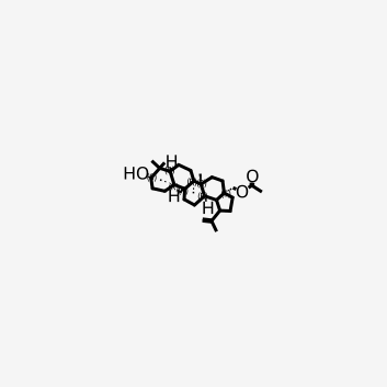 C=C(C)C1CC[C@]2(COC(C)=O)CC[C@]3(C)[C@H](CC[C@@H]4[C@@]5(C)CC[C@H](O)C(C)(C)[C@@H]5CC[C@]43C)C12